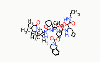 C=CCNC(=O)C(=O)C(CC1CCC1)NC(=O)[C@@H]1C[C@@H](OC(=O)N2CCc3ccccc3C2)CN1C(=O)[C@@H](NC(=O)N[C@H](CN1C(=O)CC(C)(C)CC1=O)C(C)(C)C)C1(C)CCCCC1